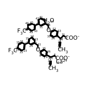 CC#C[C@@H](CC(=O)[O-])c1ccc(OCc2cccc(-c3ccc(C(F)(F)F)cc3)c2)cc1.CC#C[C@@H](CC(=O)[O-])c1ccc(OCc2cccc(-c3ccc(C(F)(F)F)cc3)c2)cc1.O.[Ca+2]